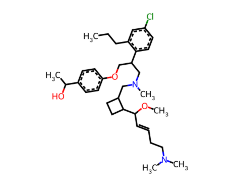 CCCc1cc(Cl)ccc1C(COc1ccc(C(C)O)cc1)CN(C)CC1CCC1C(/C=C/CCN(C)C)OC